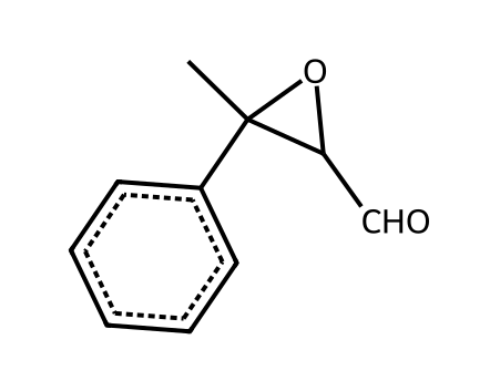 CC1(c2ccccc2)OC1C=O